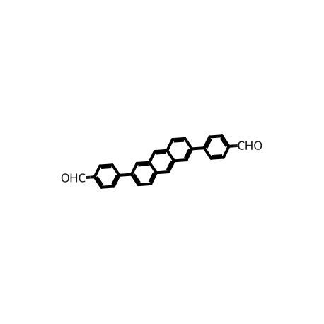 O=Cc1ccc(-c2ccc3cc4cc(-c5ccc(C=O)cc5)ccc4cc3c2)cc1